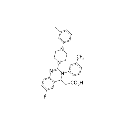 Cc1cccc(N2CCN(C3=Nc4ccc(F)cc4C(CC(=O)O)N3c3cccc(C(F)(F)F)c3)CC2)c1